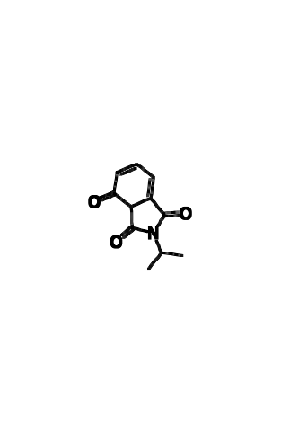 CC(C)N1C(=O)C2=CC=CC(=O)C2C1=O